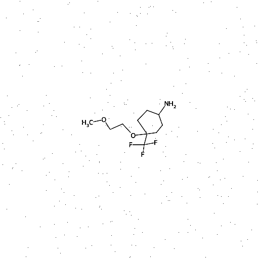 COCCOC1(C(F)(F)F)CCC(N)CC1